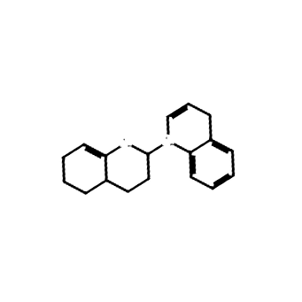 C1=CN(C2CCC3CCCC=C3N2)c2ccccc2C1